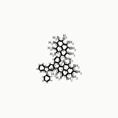 Bc1c(B)c2c(B)c(B)c3c(B)c(B)c(-c4ccc(-c5ccc6c(c5)c5ccccc5n6-c5ccccc5)c(-c5c(B)c(B)c6c(B)c(B)c7c(B)c(B)c(B)c8c(B)c(B)c5c6c78)c4)c4c(B)c(B)c(c1B)c2c34